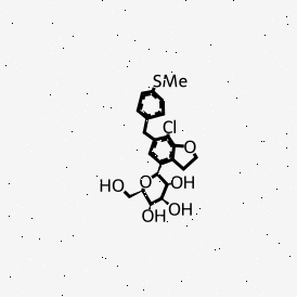 CSc1ccc(Cc2cc([C@@H]3O[C@H](CO)[C@@H](O)[C@H](O)[C@H]3O)c3c(c2Cl)OCC3)cc1